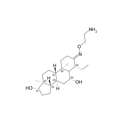 CC[C@H]1C(=NOCCN)CC[C@@]2(C)C1[C@H](O)C[C@H]1[C@@H]3CC[C@H](O)[C@@]3(C)CC[C@@H]12